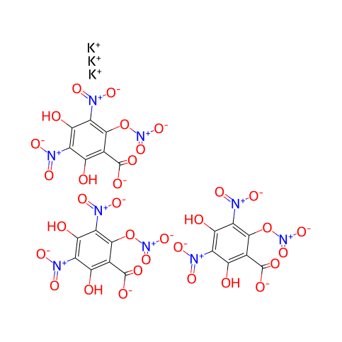 O=C([O-])c1c(O)c([N+](=O)[O-])c(O)c([N+](=O)[O-])c1O[N+](=O)[O-].O=C([O-])c1c(O)c([N+](=O)[O-])c(O)c([N+](=O)[O-])c1O[N+](=O)[O-].O=C([O-])c1c(O)c([N+](=O)[O-])c(O)c([N+](=O)[O-])c1O[N+](=O)[O-].[K+].[K+].[K+]